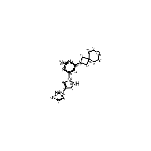 C1=C(n2ccnn2)CNN1c1cc(N2CC3(CCOCC3)C2)ncn1.[Na]